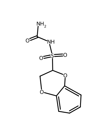 NC(=O)NS(=O)(=O)C1COc2ccccc2O1